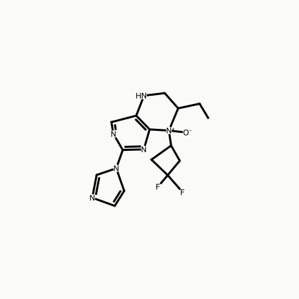 CCC1CNc2cnc(-n3ccnc3)nc2[N+]1([O-])C1CC(F)(F)C1